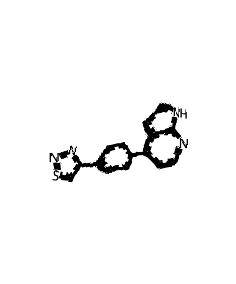 c1cc(-c2ccc(-c3csnn3)cc2)c2cc[nH]c2n1